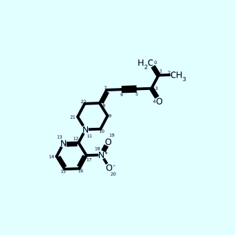 C=C(C)C(=O)C#CC=C1CCN(c2ncccc2[N+](=O)[O-])CC1